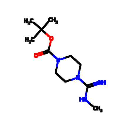 CNC(=N)N1CCN(C(=O)OC(C)(C)C)CC1